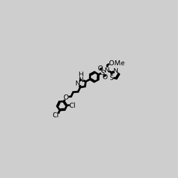 COCN(c1nccs1)S(=O)(=O)c1ccc(C2CC(CCCOc3ccc(Cl)cc3Cl)=NN2)cc1